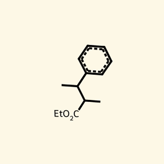 CCOC(=O)C(C)C(C)c1ccccc1